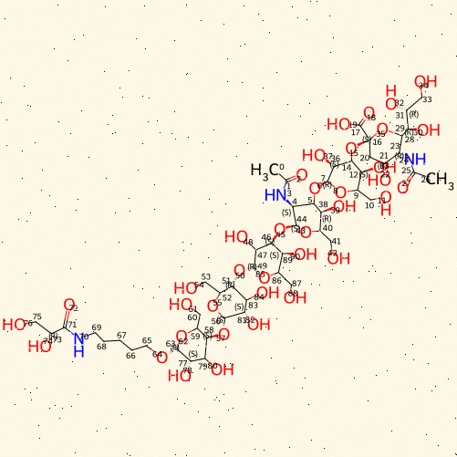 CC(=O)N[C@H]1C(O[C@@H]2OC(CO)[C@H](O)C(O[C@]3(C(=O)O)C[C@@H](O)[C@@H](NC(C)=O)C([C@H](O)[C@H](O)CO)O3)[C@@H]2O)[C@@H](O)C(CO)O[C@H]1O[C@@H]1C(O)[C@@H](O[C@H]2C(CO)O[C@@H](O[C@@H]3C(CO)O[C@@H](OCCCCCNC(=O)[C@H](O)CO)[C@@H](O)C3O)[C@@H](O)C2O)OC(CO)[C@@H]1O